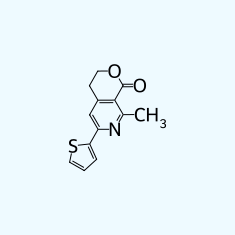 Cc1nc(-c2cccs2)cc2c1C(=O)OCC2